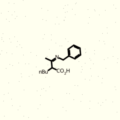 CCCCC(C(=O)O)C(C)=NCc1ccccc1